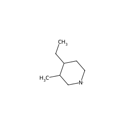 CCC1CC[N]CC1C